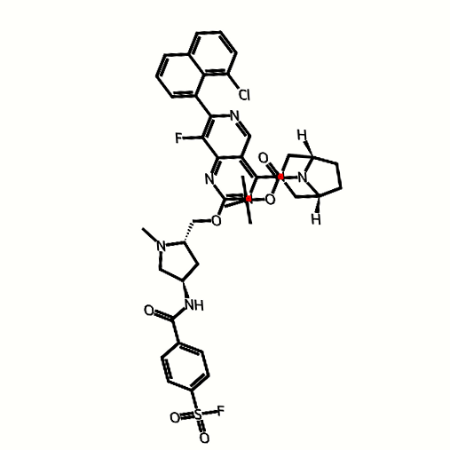 CN1C[C@H](NC(=O)c2ccc(S(=O)(=O)F)cc2)C[C@H]1COc1nc(N2C[C@H]3CC[C@@H](C2)N3C(=O)OC(C)(C)C)c2cnc(-c3cccc4cccc(Cl)c34)c(F)c2n1